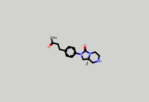 COC(=O)CCc1ccc(N2C[C@@H]3CNCCN3C2=O)cc1